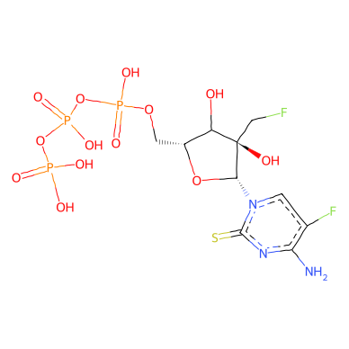 Nc1nc(=S)n([C@@H]2O[C@H](COP(=O)(O)OP(=O)(O)OP(=O)(O)O)C(O)[C@]2(O)CF)cc1F